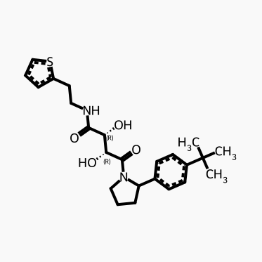 CC(C)(C)c1ccc(C2CCCN2C(=O)[C@H](O)[C@@H](O)C(=O)NCCc2cccs2)cc1